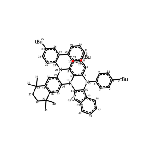 CC(C)(C)c1ccc(N2c3cc(C(C)(C)C)cc4c3B(c3cc5c(cc3N4c3ccc(C(C)(C)C)cc3-c3ccccc3)C(C)(C)CCC5(C)C)c3oc4ccccc4c32)cc1